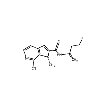 C=C(CCF)NC(=O)c1cc2ccnc(C#N)c2n1C